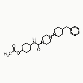 CC(=O)OC1CCC(NC(=O)N2CCN(N3CCC(Cc4ccccc4)CC3)CC2)CC1